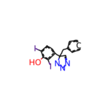 Oc1c(I)ccc(C2(Cc3ccccc3)C=NN=N2)c1I